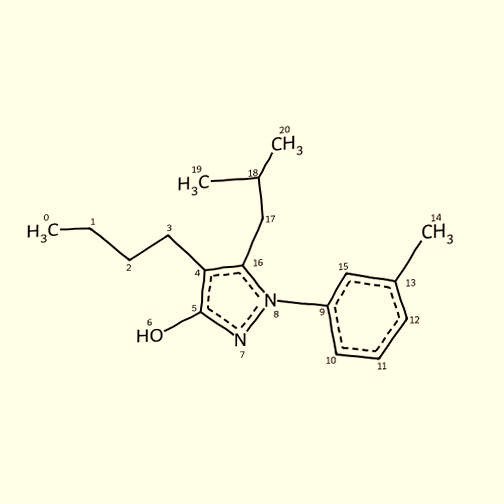 CCCCc1c(O)nn(-c2cccc(C)c2)c1CC(C)C